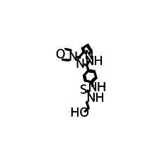 OCCNC(=S)Nc1ccc(C2N=C(N3CCOCC3)c3cccn3N2)cc1